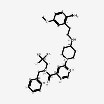 COc1ccc(N)c(CCNC2CCN(c3cc(C(=O)N(Cc4ccccc4)CC(F)(F)F)ncn3)CC2)c1